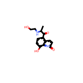 CC(NCCO)C(=O)c1ccc(O)c2[nH]c(=O)ccc12